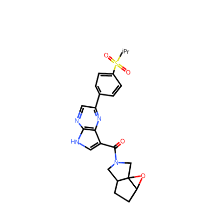 CC(C)S(=O)(=O)c1ccc(-c2cnc3[nH]cc(C(=O)N4CC5CCC6OC56C4)c3n2)cc1